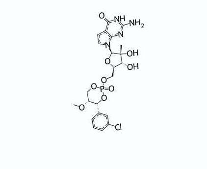 CO[C@@H]1COP(=O)(OC[C@H]2O[C@@H](n3ccc4c(=O)[nH]c(N)nc43)[C@](C)(O)[C@@H]2O)O[C@@H]1c1cccc(Cl)c1